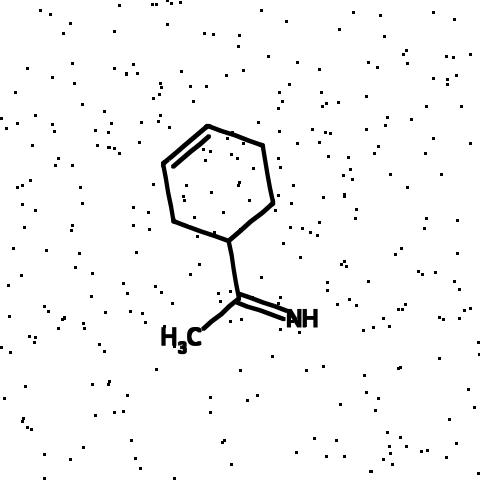 CC(=N)C1CC=CCC1